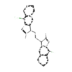 CC1=Cc2c(cc3ccccc3c2Br)C1CCC1C(C)=Cc2c1cc1ccccc1c2Br